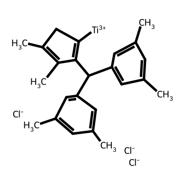 CC1=C(C)C(C(c2cc(C)cc(C)c2)c2cc(C)cc(C)c2)=[C]([Ti+3])C1.[Cl-].[Cl-].[Cl-]